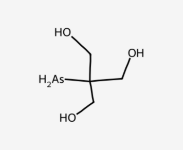 OCC([AsH2])(CO)CO